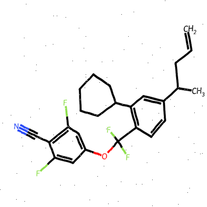 C=CCC(C)c1ccc(C(F)(F)Oc2cc(F)c(C#N)c(F)c2)c(C2CCCCC2)c1